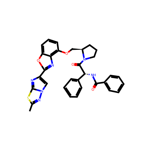 Cc1nn2cc(-c3nc4c(OC[C@H]5CCCN5C(=O)[C@H](NC(=O)c5ccccc5)c5ccccc5)cccc4o3)nc2s1